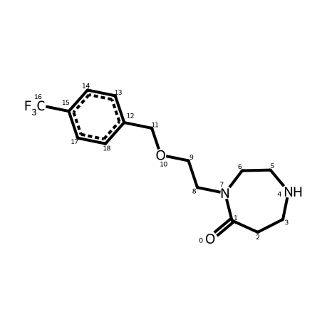 O=C1CCNCCN1CCOCc1ccc(C(F)(F)F)cc1